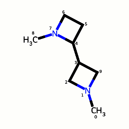 CN1CC(C2CCN2C)C1